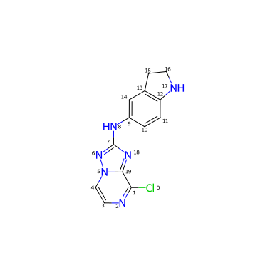 Clc1nccn2nc(Nc3ccc4c(c3)CCN4)nc12